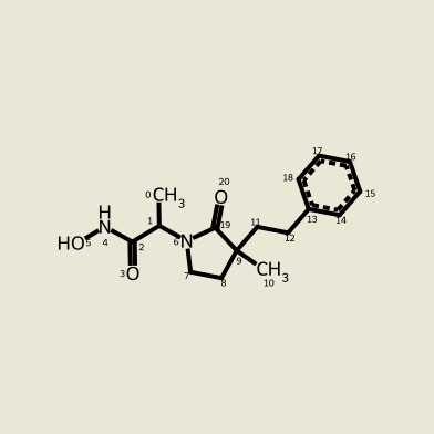 CC(C(=O)NO)N1CCC(C)(CCc2ccccc2)C1=O